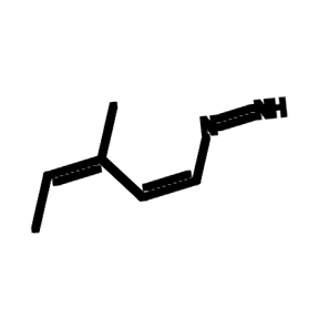 C/C=C(C)\C=C/N=N